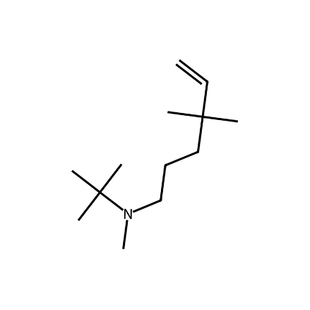 C=CC(C)(C)CCCN(C)C(C)(C)C